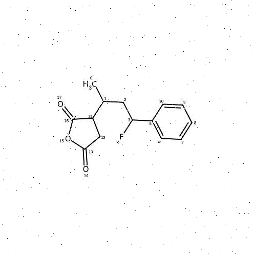 CC(CC(F)c1ccccc1)C1CC(=O)OC1=O